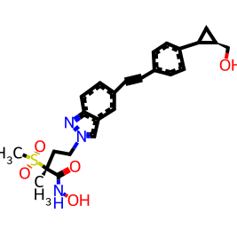 C[C@@](CCn1cc2cc(C#Cc3ccc(C4C[C@H]4CO)cc3)ccc2n1)(C(=O)NO)S(C)(=O)=O